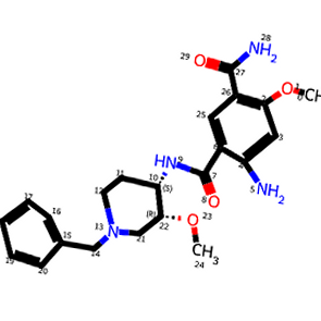 COc1cc(N)c(C(=O)N[C@H]2CCN(Cc3ccccc3)C[C@H]2OC)cc1C(N)=O